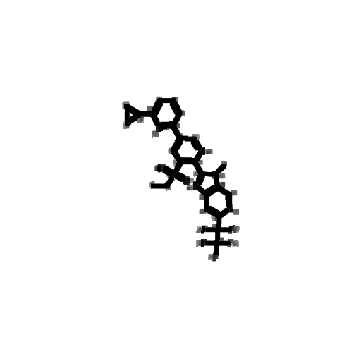 CCS(=O)(=O)c1cc(-c2cccc(C3CC3)n2)cnc1-c1nc2cc(C(F)(F)C(F)(F)F)ncc2n1C